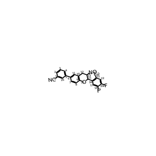 N#Cc1cccc(-c2ccc3c(c2)CC([N+](=O)[O-])C(c2cc(F)c(F)cc2F)O3)c1